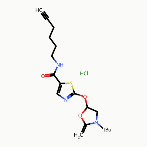 C#CCCCCNC(=O)c1cnc(OC2CN(C(C)(C)C)C(=C)O2)s1.Cl